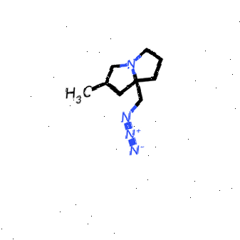 CC1CN2CCCC2(CN=[N+]=[N-])C1